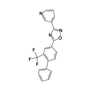 FC(F)(F)c1cc(-c2nc(-c3cccnc3)no2)ccc1-c1ccccc1